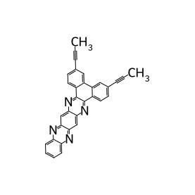 CC#Cc1ccc2c(c1)c1cc(C#CC)ccc1c1nc3cc4nc5ccccc5nc4cc3nc21